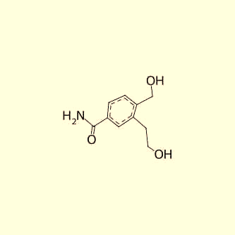 NC(=O)c1ccc(CO)c(CCO)c1